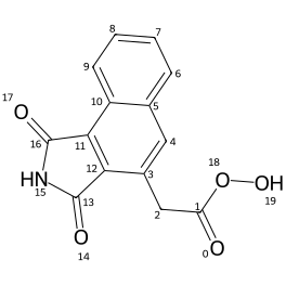 O=C(Cc1cc2ccccc2c2c1C(=O)NC2=O)OO